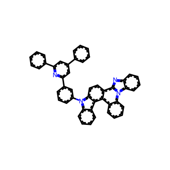 c1ccc(-c2cc(-c3ccccc3)nc(-c3cccc(-n4c5ccccc5c5c6c7ccccc7n7c8ccccc8nc7c6ccc54)c3)c2)cc1